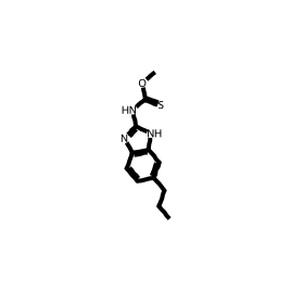 CCCc1ccc2nc(NC(=S)OC)[nH]c2c1